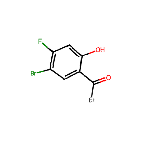 CCC(=O)c1cc(Br)c(F)cc1O